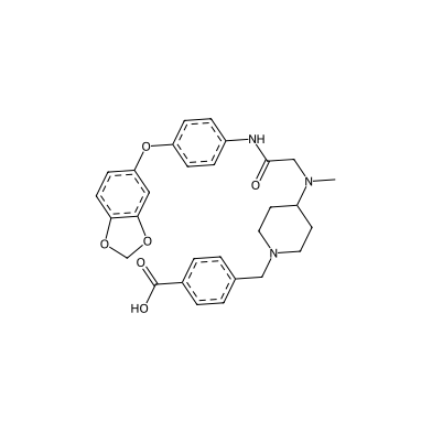 CN(CC(=O)Nc1ccc(Oc2ccc3c(c2)OCO3)cc1)C1CCN(Cc2ccc(C(=O)O)cc2)CC1